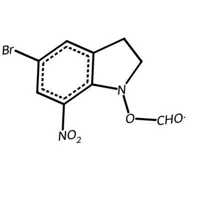 O=[C]ON1CCc2cc(Br)cc([N+](=O)[O-])c21